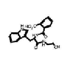 N#CCCNC(=O)C(Cc1c[nH]c2ccccc12)NC(=O)c1ccccc1C(=O)O